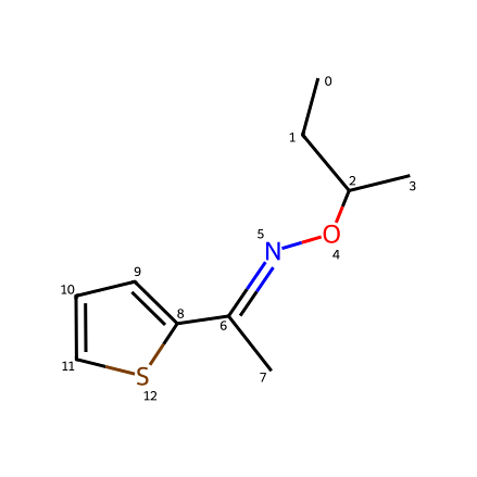 CCC(C)ON=C(C)c1cccs1